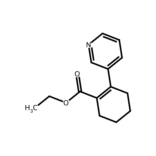 CCOC(=O)C1=C(c2cccnc2)CCCC1